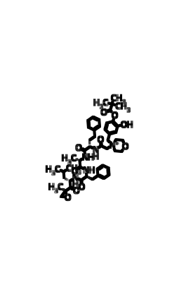 CC(C)C[C@H](NC(=O)[C@H](Cc1ccccc1)NC(=O)[C@H](C)NC(=O)[C@H](CCc1ccccc1)NC(=O)C[N+]1(Cc2ccc(OC(=O)C(C)(C)C)c(O)c2)CCOCC1)C(=O)[C@@]1(C)CO1